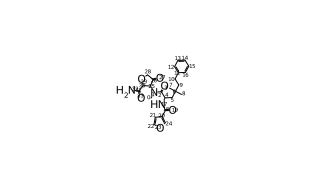 CN(C(=O)C(CC(C)(C)CCc1ccccc1)NC(=O)c1ccoc1)C1C(=O)COC1C(N)=O